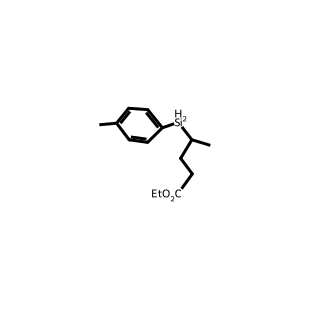 CCOC(=O)CCC(C)[SiH2]c1ccc(C)cc1